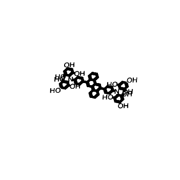 Oc1cc(O)c(N(c2ccc(-c3cc4c5ccccc5c(-c5ccc(N(c6c(O)cc(O)cc6O)c6c(O)cc(O)cc6O)cc5)cc4c4ccccc34)cc2)c2c(O)cc(O)cc2O)c(O)c1